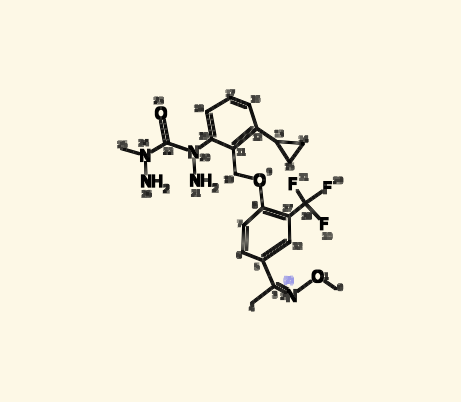 CO/N=C(/C)c1ccc(OCc2c(C3CC3)cccc2N(N)C(=O)N(C)N)c(C(F)(F)F)c1